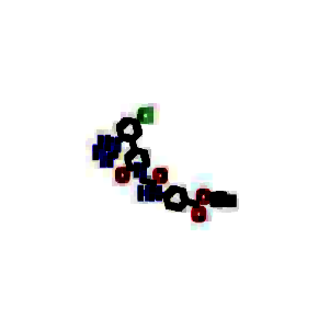 CC(C)(C)OC(=O)c1ccc(NC(=O)Cn2ccc(-c3cc(Cl)ccc3-n3cnnn3)cc2=O)cc1